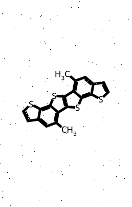 Cc1cc2ccsc2c2sc3c(sc4c5sccc5cc(C)c43)c12